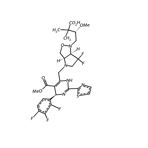 COC(=O)C1=C(CN2CC(F)(F)[C@H]3[C@@H]2CON3C[C@@H](OC)C(C)(C)C(=O)O)NC(c2nccs2)=N[C@H]1c1ccc(F)c(F)c1F